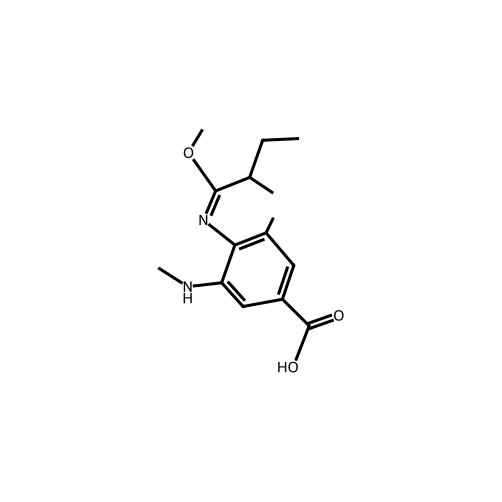 CCC(C)/C(=N\c1c(C)cc(C(=O)O)cc1NC)OC